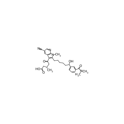 CC(CC(=O)O)CC(=O)c1c(CCCCCC(O)c2cccc(C(=O)N(C)C)c2)n(C)c2ncc(C#N)cc12